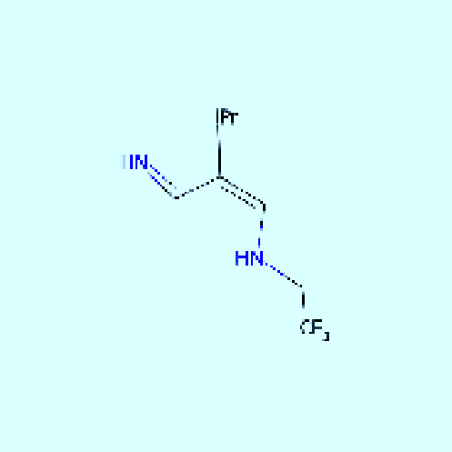 CC(C)/C(C=N)=C/NCC(F)(F)F